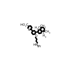 CC(C)NCCCCOc1ccc(-c2ccc(C(=O)O)cn2)cc1-c1ccc2c(c1)C(C)(C)CCC2(C)C